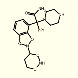 CCCC(C(N)=O)(c1cccc2c1ON(C1CCONO1)O2)N1CCNCC1